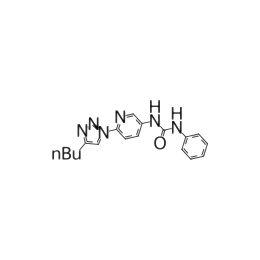 CCCCc1cn(-c2ccc(NC(=O)Nc3ccccc3)cn2)nn1